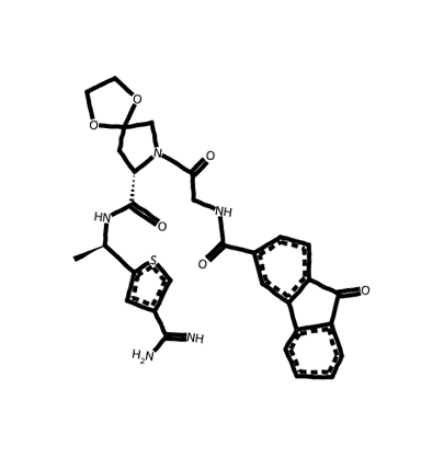 C[C@@H](NC(=O)[C@@H]1CC2(CN1C(=O)CNC(=O)c1ccc3c(c1)-c1ccccc1C3=O)OCCO2)c1cc(C(=N)N)cs1